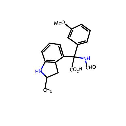 COc1cccc(C(NC=O)(C(=O)O)c2cccc3c2CC(C)N3)c1